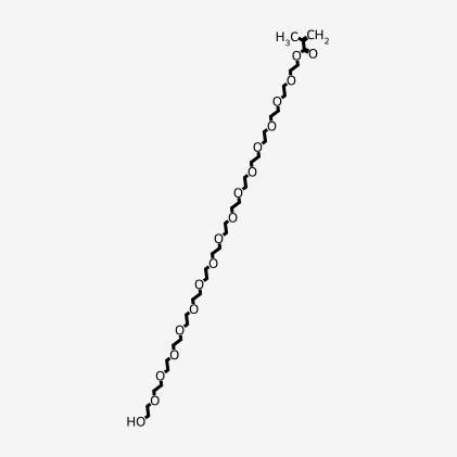 C=C(C)C(=O)OCCOCCOCCOCCOCCOCCOCCOCCOCCOCCOCCOCCOCCOCCOCCOCCO